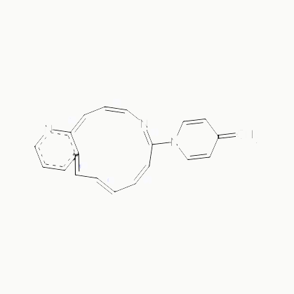 C=C1C=CN(C2=N/C=C\C=c3\nccc\c3=C/C=C/C=C\2)C=C1